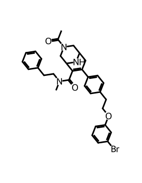 CC(=O)N1CC2CC(c3ccc(CCOc4cccc(Br)c4)cc3)=C(C(=O)N(C)CCc3ccccc3)C(C1)N2